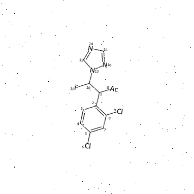 CC(=O)C(c1ccc(Cl)cc1Cl)C(F)n1cncn1